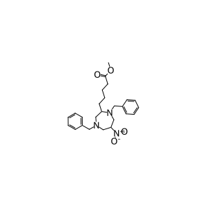 COC(=O)CCCCC1CN(Cc2ccccc2)CC([N+](=O)[O-])CN1Cc1ccccc1